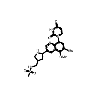 COc1c(C(C)(C)C)cc(-n2ccc(=O)[nH]c2=O)c2ncc(C3CC(CNS(C)(=O)=O)CN3)cc12